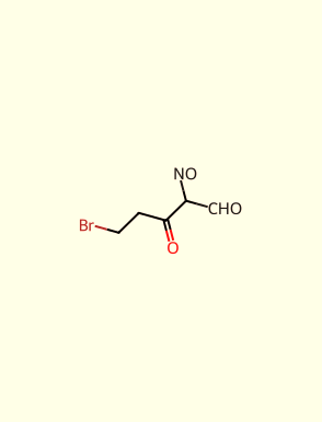 O=CC(N=O)C(=O)CCBr